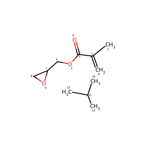 C=C(C)C(=O)OCC1CO1.CC(C)C